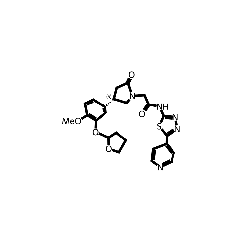 COc1ccc([C@@H]2CC(=O)N(CC(=O)Nc3nnc(-c4ccncc4)s3)C2)cc1OC1CCCO1